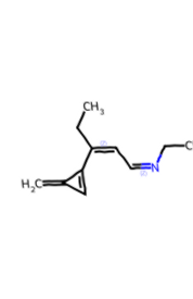 C=C1C=C1/C(=C\C=N/CC)CC